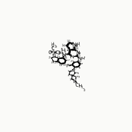 CN1CC2(CCN(c3ccc(Nc4nc(Nc5cccc6c5N(S(C)(=O)=O)CC6)c5cc[nH]c5n4)cc3F)C2)C1